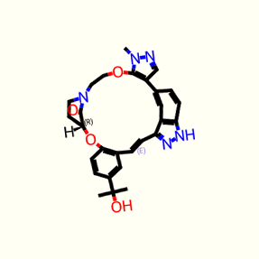 Cn1ncc2c1OCCN1CC[C@@H](Oc3ccc(C(C)(C)O)cc3/C=C/c3n[nH]c4ccc-2cc34)C1=O